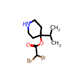 CC(C)C1(OC(=O)C(Br)Br)CCNCC1